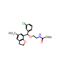 COC(=O)NCCOC(c1cccc(Cl)c1)c1cc(C(=O)O)cc2c1OCC2